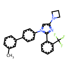 Cc1cccc(-c2ccc(-n3cc(N4CCC4)nc3-c3ccccc3C(F)(F)F)cc2)c1